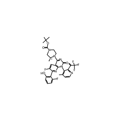 C=C(c1nccc(C)c1-n1c(=O)nc(N2CCN(C(=O)OC(C)(C)C)C[C@@H]2C)c2cc(F)c(-c3c(O)cccc3F)nc21)C(F)(F)F